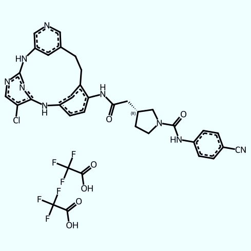 N#Cc1ccc(NC(=O)N2CC[C@H](CC(=O)Nc3ccc4cc3CCc3cncc(c3)Nc3ncc(Cl)c(n3)N4)C2)cc1.O=C(O)C(F)(F)F.O=C(O)C(F)(F)F